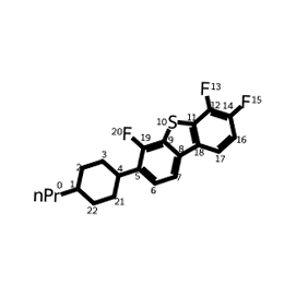 CCCC1CCC(c2ccc3c(sc4c(F)c(F)ccc43)c2F)CC1